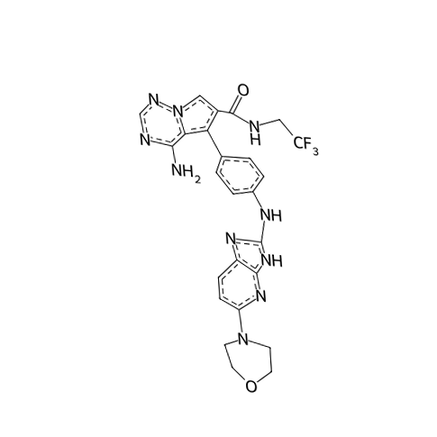 Nc1ncnn2cc(C(=O)NCC(F)(F)F)c(-c3ccc(Nc4nc5ccc(N6CCOCC6)nc5[nH]4)cc3)c12